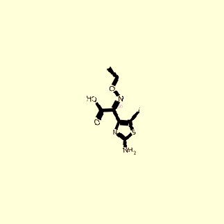 CCO/N=C(\C(=O)O)c1nc(N)sc1I